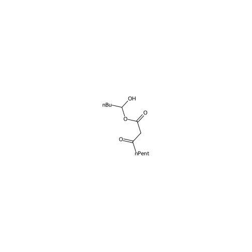 CCCCCC(=O)CC(=O)OC(O)CCCC